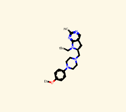 CCOc1ccc(N2CCN(CC3Cc4cnc(C#N)nc4N3CC(C)(C)C)CC2)cc1